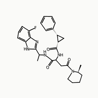 CC(NC(=O)C(CC(=O)N1CCCC[C@@H]1C)NC(=O)[C@H]1C[C@H]1c1ccccc1)c1nc2c(F)cccc2[nH]1